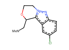 CNCC1OCCn2nc3ccc(Cl)cc3c21